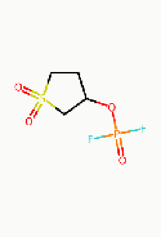 O=P(F)(F)OC1CCS(=O)(=O)C1